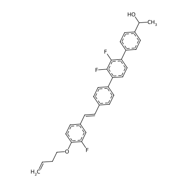 C=CCCOc1ccc(/C=C/c2ccc(-c3ccc(-c4ccc(C(C)O)cc4)c(F)c3F)cc2)cc1F